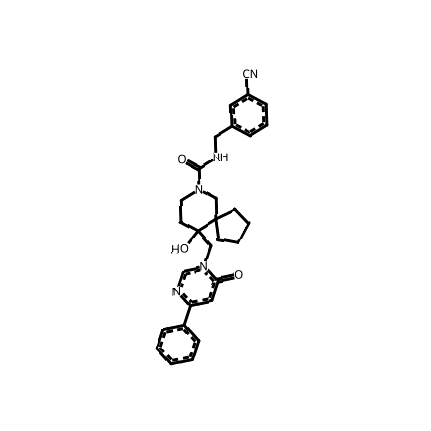 N#Cc1cccc(CNC(=O)N2CCC(O)(Cn3cnc(-c4ccccc4)cc3=O)C3(CCCC3)C2)c1